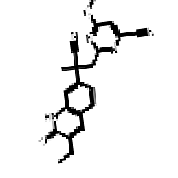 CCc1cc2ccc(C(C)(C#N)Cc3nc(C#N)cc(OC)n3)cc2[nH]c1=O